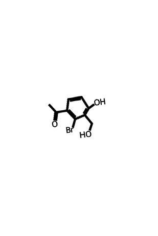 CC(=O)c1ccc(O)c(CO)c1Br